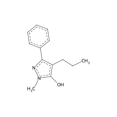 CCCc1c(-c2ccccc2)nn(C)c1O